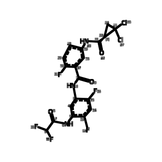 O=C(Nc1cc(NC(=O)C(F)F)c(F)cc1F)c1cc(NC(=O)[C@H]2CC2(Cl)Cl)ccc1F